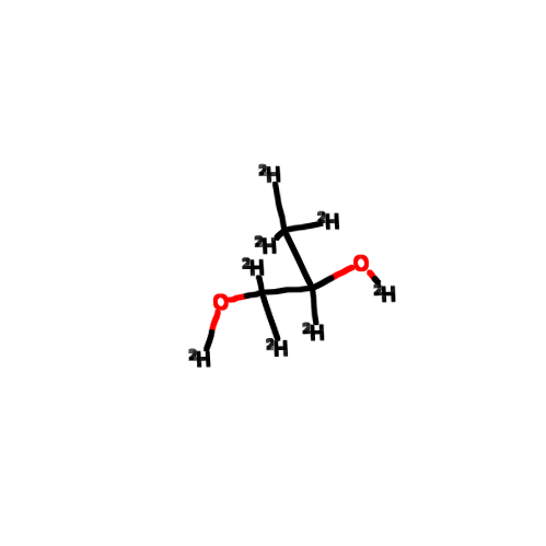 [2H]OC([2H])([2H])C([2H])(O[2H])C([2H])([2H])[2H]